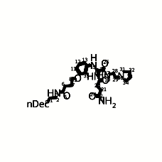 CCCCCCCCCCCCNC(=O)CCCOc1cccc(NC(NC(=O)CCC(N)=O)C(=O)NCCN2CCCC2)c1